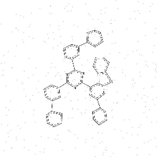 c1ccc(-c2cccc(-c3nc(-c4cccc(-c5ccccc5)c4)nc(-c4cc(-c5ccccc5)cc5sc6ccccc6c45)n3)c2)cc1